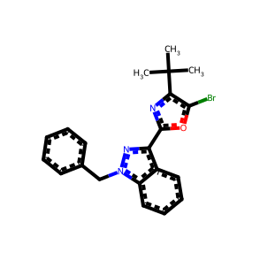 CC(C)(C)c1nc(-c2nn(Cc3ccccc3)c3ccccc23)oc1Br